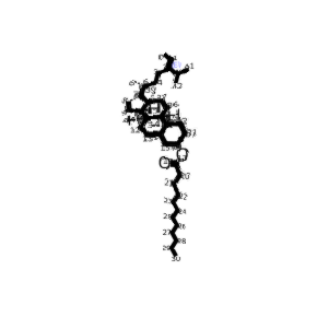 C/C=C(\CC[C@@H](C)[C@H]1CC[C@H]2[C@@H]3CC=C4C[C@@H](OC(=O)CCCCCCCCCCC)CC[C@]4(C)[C@H]3CC[C@]12C)C(C)C